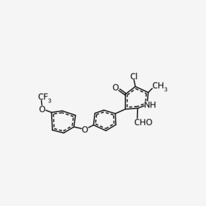 Cc1[nH]c(C=O)c(-c2ccc(Oc3ccc(OC(F)(F)F)cc3)cc2)c(=O)c1Cl